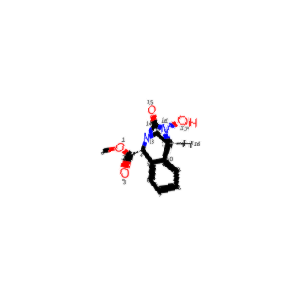 COC(=O)[C@H]1c2ccccc2[C@H]2CN1C(=O)N2O